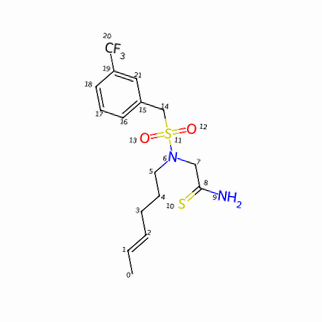 C/C=C/CCCN(CC(N)=S)S(=O)(=O)Cc1cccc(C(F)(F)F)c1